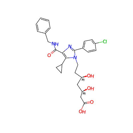 O=C(O)C[C@H](O)C[C@H](O)CCn1c(-c2ccc(Cl)cc2)nc(C(=O)NCc2ccccc2)c1C1CC1